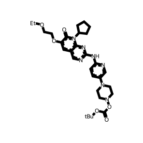 CCOCCOc1cc2cnc(Nc3ccc(N4CCN(OC(=O)OC(C)(C)C)CC4)cn3)nc2n(C2CCCC2)c1=O